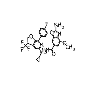 COc1cc(C(=O)NC[C@H](c2cc3c(c(-c4ccc(F)cc4)n2)OCC3C(F)(F)F)C2CC2)cc2oc(N)nc12